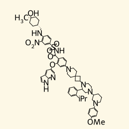 COc1ccc(N2CCCC(N3CCN(C4CC5(CCN(c6ccc(C(=O)NS(=O)(=O)c7ccc(NC[C@H]8CC[C@](C)(O)CC8)c([N+](=O)[O-])c7)c(Oc7cnc8[nH]ccc8c7)c6)CC5)C4)C(c4ccccc4C(C)C)C3)C2)cc1